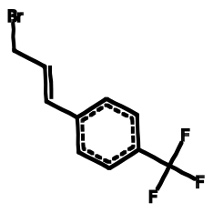 FC(F)(F)c1ccc(C=CCBr)cc1